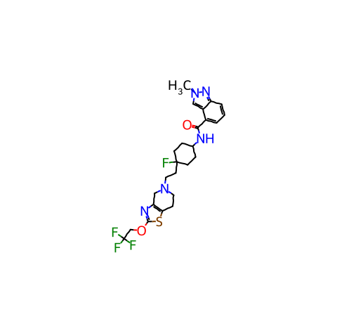 Cn1cc2c(C(=O)NC3CCC(F)(CCN4CCc5sc(OCC(F)(F)F)nc5C4)CC3)cccc2n1